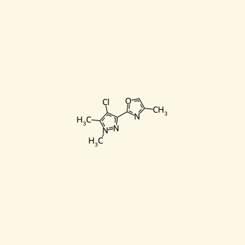 Cc1coc(-c2nn(C)c(C)c2Cl)n1